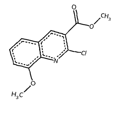 COC(=O)c1cc2cccc(OC)c2nc1Cl